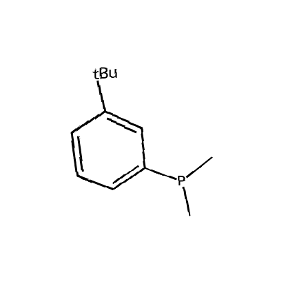 CP(C)c1cccc(C(C)(C)C)c1